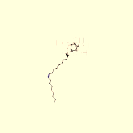 CCCCCCCC/C=C\CCCCCCCC(=O)OC1O[C@H](CO)[C@@H](O)[C@H](O)[C@@H]1O